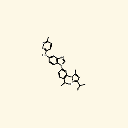 Cc1ccc(Nc2ccc3c(c2)ncn3-c2ccc(C(C)O)c(-n3nc(C(C)F)nc3C)n2)nn1